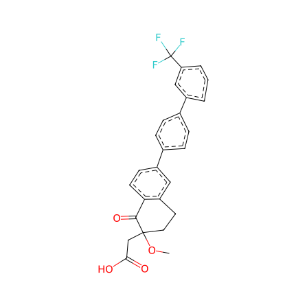 COC1(CC(=O)O)CCc2cc(-c3ccc(-c4cccc(C(F)(F)F)c4)cc3)ccc2C1=O